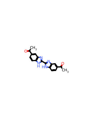 CC(=O)c1ccc2[nH]c(-c3nc4cc(C(C)=O)ccc4[nH]3)nc2c1